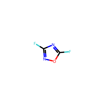 Fc1noc(F)n1